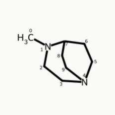 CN1CCN2CCC1CC2